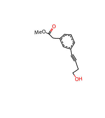 COC(=O)Cc1cccc(C#CCCO)c1